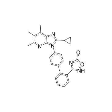 Cc1nc2c(nc(C3CC3)n2-c2ccc(-c3ccccc3-c3nc(=O)o[nH]3)cc2)c(C)c1C